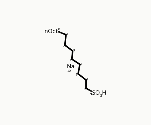 CCCCCCCCCCCCCCCCS(=O)(=O)O.[Na]